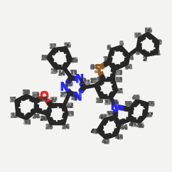 c1ccc(-c2ccc3sc4c(-c5nc(-c6ccccc6)nc(-c6cccc7c6oc6ccccc67)n5)cc(-n5c6ccccc6c6ccccc65)cc4c3c2)cc1